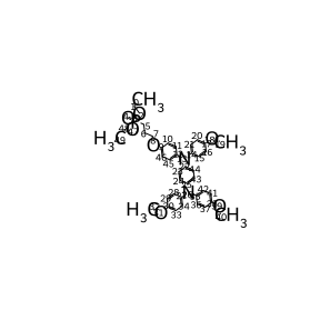 CCOP(=O)(CCCOc1ccc(N(c2ccc(OC)cc2)c2ccc(N(c3ccc(OC)cc3)c3ccc(OC)cc3)cc2)cc1)OCC